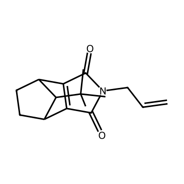 C=CCN1C(=O)C2=C(C1=O)C1CCC2C1C(C)(C)C